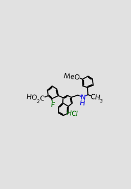 COc1cccc(C(C)NCc2cc(-c3cccc(C(=O)O)c3F)c3ccccc3c2)c1.Cl